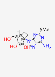 CSc1nc(N)c2ncn([C@]34CC[C@H]3[C@H](CO)[C@@H](O)[C@H]4O)c2n1